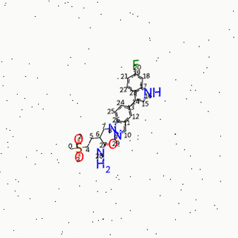 CS(=O)(=O)CCC(Cn1ncc2cc(-c3c[nH]c4cc(F)ccc34)ccc21)C(N)=O